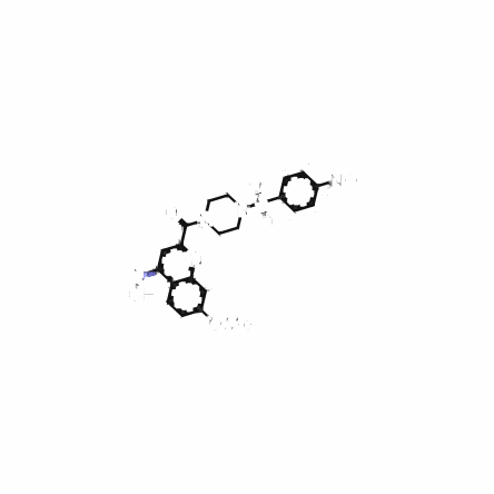 COc1ccc2/c(=N\O)cc(C(=O)N3CCN(S(=O)(=O)c4ccc([N+](=O)[O-])cc4)CC3)oc2c1